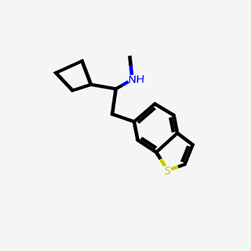 CNC(Cc1ccc2ccsc2c1)C1CCC1